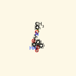 Cc1ccc(SON=CCCCOc2ccc3c(c2)C(C2CCCCC2)(C2CCCCC2)OC(=O)N3)cc1